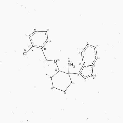 NC1(c2c[nH]c3ccccc23)CCCCC1OCc1ccccc1Cl